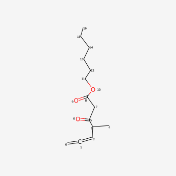 C=C=CC(C)C(=O)CC(=O)OCCCCCC